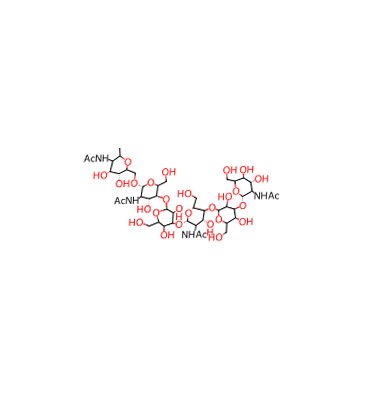 CC(=O)NC1[C@H](O[C@@H]2C(O)[C@H](O[C@@H]3C(CO)O[C@@H](O[C@@H]4C(O)[C@H](O[C@@H]5C(CO)O[C@@H](OCC6OC(C)C(NC(C)=O)[C@@H](O)[C@H]6O)C(NC(C)=O)[C@H]5O)OC(CO)[C@@H]4O)C(NC(C)=O)[C@H]3O)OC(CO)[C@@H]2O)OC(CO)[C@@H](O)[C@@H]1O